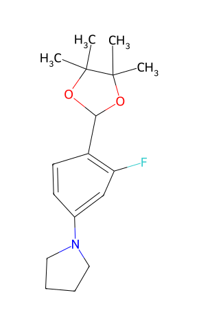 CC1(C)OC(c2ccc(N3CCCC3)cc2F)OC1(C)C